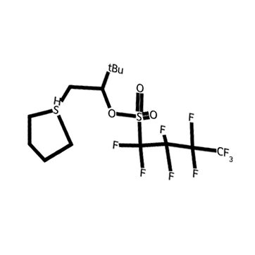 CC(C)(C)C(C[SH]1CCCC1)OS(=O)(=O)C(F)(F)C(F)(F)C(F)(F)C(F)(F)F